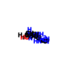 Cc1c(-c2cc3cc(Nc4cc5n(n4)Cc4nccn4CC5)ncc3c(N)n2)cnc2c1NC(C)(C)[C@H]2O